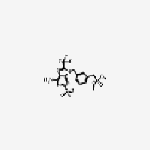 COP(=O)(Cc1cccc(Cn2c(C(F)(F)F)nc3c(N)nc(S(C)(=O)=O)nc32)c1)OC